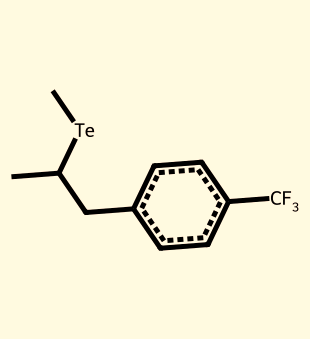 C[Te]C(C)Cc1ccc(C(F)(F)F)cc1